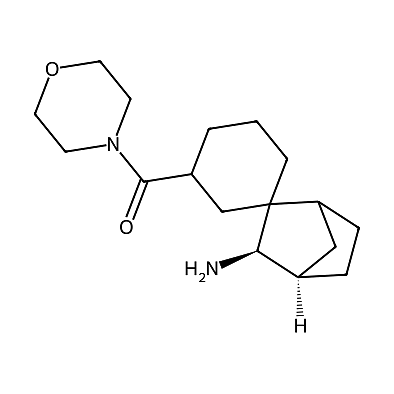 N[C@@H]1[C@@H]2CCC(C2)C12CCCC(C(=O)N1CCOCC1)C2